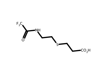 O=C(O)CCSCCNC(=O)C(F)(F)F